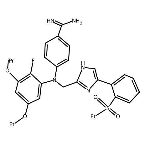 CCOc1cc(OC(C)C)c(F)c(N(Cc2nc(-c3ccccc3S(=O)(=O)CC)c[nH]2)c2ccc(C(=N)N)cc2)c1